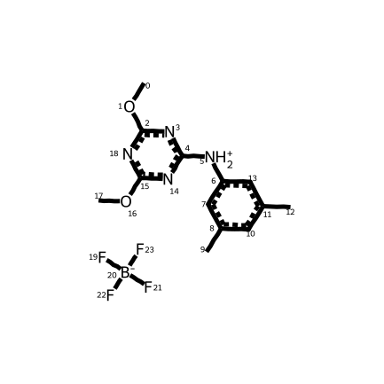 COc1nc([NH2+]c2cc(C)cc(C)c2)nc(OC)n1.F[B-](F)(F)F